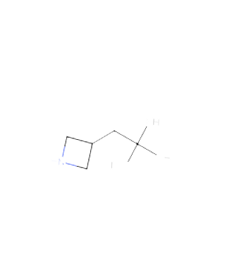 CC(C)(C)CC1CNC1